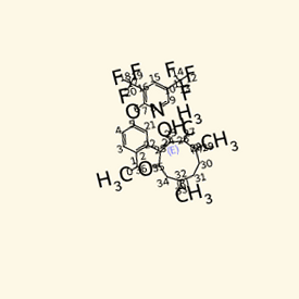 CCc1ccc(Oc2ncc(C(F)(F)F)cc2C(F)(F)F)cc1/C1=C(\O)C(C)[C@@H](C)CC[C@@H](C)CC1=O